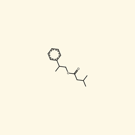 CC(C)CC(=O)OCC(C)c1ccccc1